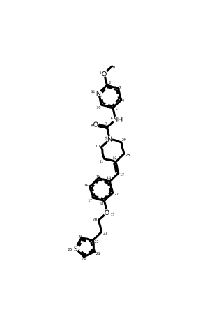 COc1ccc(NC(=O)N2CCC(=Cc3cccc(OCCc4ccsc4)c3)CC2)cn1